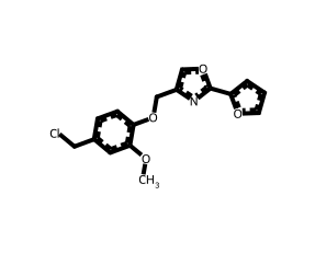 COc1cc(CCl)ccc1OCc1coc(-c2ccco2)n1